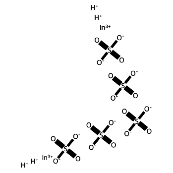 O=S(=O)([O-])[O-].O=S(=O)([O-])[O-].O=S(=O)([O-])[O-].O=S(=O)([O-])[O-].O=S(=O)([O-])[O-].[H+].[H+].[H+].[H+].[In+3].[In+3]